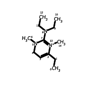 CCC1=CCN(C)C(N(CC)CC)=[N+]1C